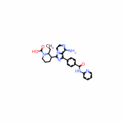 CCC1C(c2nc(-c3ccc(C(=O)Nc4ccccn4)cc3)c3c(N)nccn23)CCCN1C(=O)O